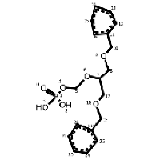 O=P(O)(O)OCOC(COCc1ccccc1)COCc1ccccc1